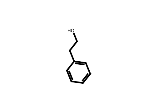 OCCc1c[c]ccc1